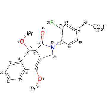 CC(C)Oc1c2c(c(OC(C)C)c3ccccc13)C(=O)N(c1ccc(CC(=O)O)cc1F)C2